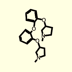 CN1CCC(Oc2ccccc2Oc2ccccc2OC2CCN(C)C2)C1